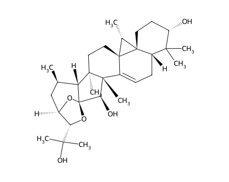 C[C@@H]1C[C@H]2O[C@]3(O[C@@H]2C(C)(C)O)[C@H]1[C@@]1(C)CC[C@]24C(=CC[C@H]5C(C)(C)[C@@H](O)CC[C@@]52[C@H]4C)[C@]1(C)[C@H]3O